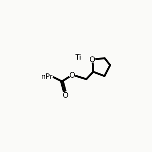 CCCC(=O)OCC1CCCO1.[Ti]